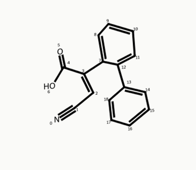 N#CC=C(C(=O)O)c1ccccc1-c1ccccc1